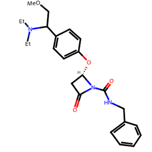 CCN(CC)C(COC)c1ccc(O[C@H]2CC(=O)N2C(=O)NCc2ccccc2)cc1